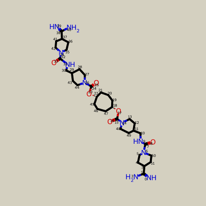 N=C(N)C1CCN(C(=O)NCC2CCN(C(=O)O[C@H]3CCC[C@@H](OC(=O)N4CCC(CNC(=O)N5CCC(C(=N)N)CC5)CC4)CCC3)CC2)CC1